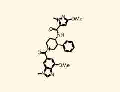 COc1cc(C(=O)N[C@@H]2CCN(C(=O)c3cc(OC)c4ncn(C)c4c3)C[C@@H]2c2ccccc2)n(C)n1